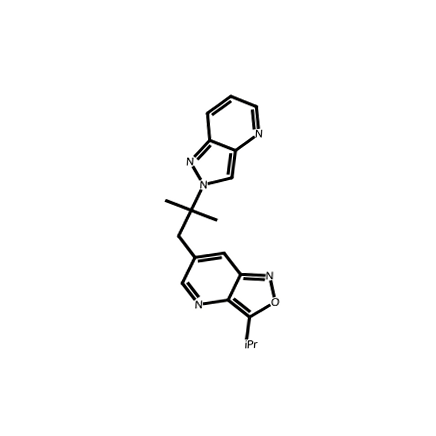 CC(C)c1onc2cc(CC(C)(C)n3cc4ncccc4n3)cnc12